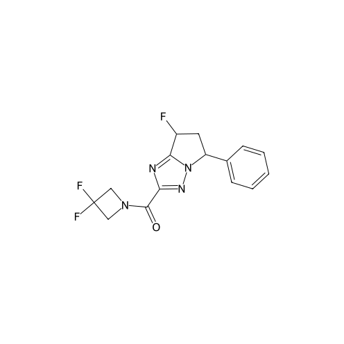 O=C(c1nc2n(n1)C(c1ccccc1)CC2F)N1CC(F)(F)C1